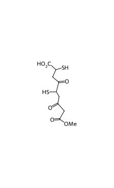 COC(=O)CC(=O)CC(S)C(=O)CC(S)C(=O)O